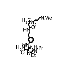 CCc1nc(C(N)=O)c(Nc2cccc(CCNC(=O)CN(C)C(=O)/C=C/CNC)c2)nc1NC(C)C